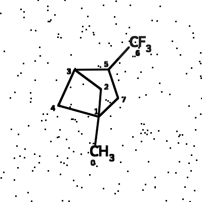 CC12CC(C1)C(C(F)(F)F)C2